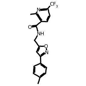 Cc1ccc(-c2cc(CNC(=O)c3ccc(C(F)(F)F)nc3C)on2)cc1